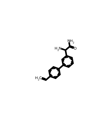 C=Cc1ccc(-c2cccc(C(N)C(N)=O)c2)cc1